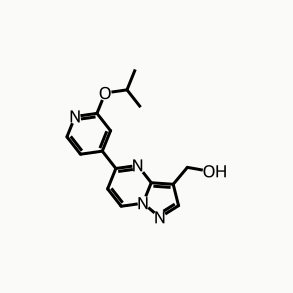 CC(C)Oc1cc(-c2ccn3ncc(CO)c3n2)ccn1